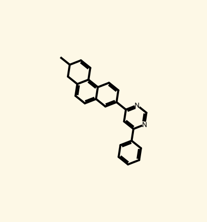 CC1C=Cc2c(ccc3cc(-c4cc(-c5ccccc5)ncn4)ccc23)C1